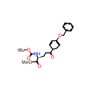 COC(=O)[C@H](CCC(=O)C1C=CC(OCc2ccccc2)=CC1)NC(=O)OC(C)(C)C